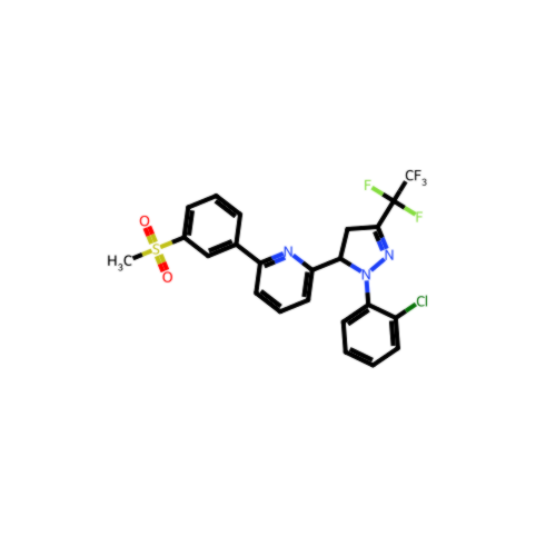 CS(=O)(=O)c1cccc(-c2cccc(C3CC(C(F)(F)C(F)(F)F)=NN3c3ccccc3Cl)n2)c1